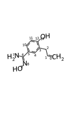 C=CCc1cc(C(N)=NO)ccc1O